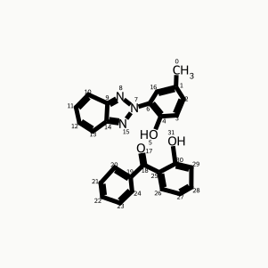 Cc1ccc(O)c(-n2nc3ccccc3n2)c1.O=C(c1ccccc1)c1ccccc1O